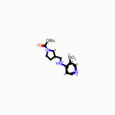 CC(C)COC(=O)N1CCC(CNc2ccncc2[N+](=O)[O-])C1